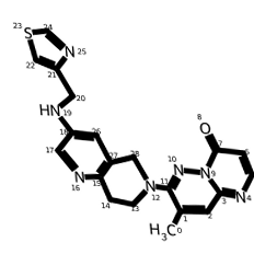 Cc1cc2nccc(=O)n2nc1N1CCc2ncc(NCc3cscn3)cc2C1